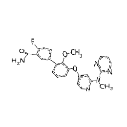 COc1c(Oc2ccnc(N(C)c3ncccn3)c2)cccc1-c1ccc(F)c(C(N)=O)c1